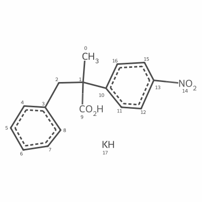 CC(Cc1ccccc1)(C(=O)O)c1ccc([N+](=O)[O-])cc1.[KH]